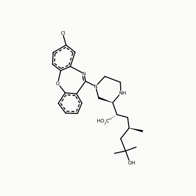 C[C@H](C[C@H](C(=O)O)[C@H]1CN(C2=Nc3cc(Cl)ccc3Oc3ccccc32)CCN1)CC(C)(C)O